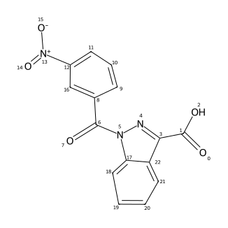 O=C(O)c1nn(C(=O)c2cccc([N+](=O)[O-])c2)c2ccccc12